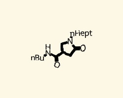 CCCCCCCN1CC(C(=O)NCCCC)CC1=O